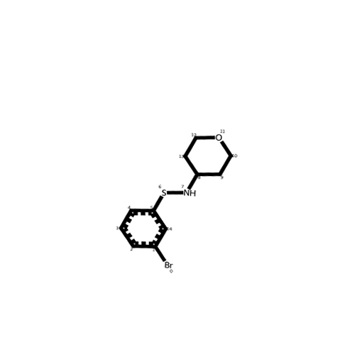 Brc1cccc(SNC2CCOCC2)c1